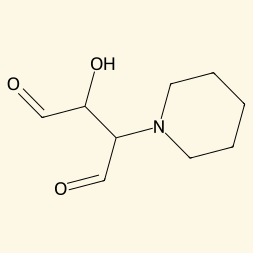 O=CC(O)C(C=O)N1CCCCC1